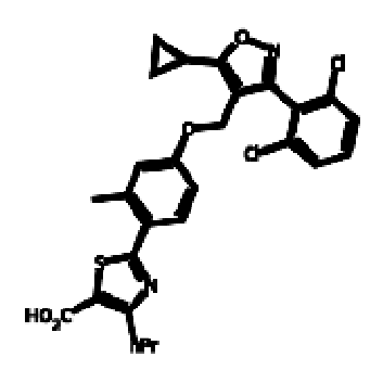 CCCc1nc(-c2ccc(OCc3c(-c4c(Cl)cccc4Cl)noc3C3CC3)cc2C)sc1C(=O)O